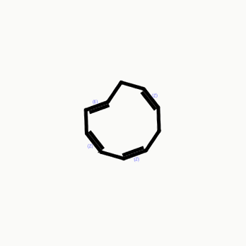 [C]1=C\C=C\C/C=C\C\C=C/1